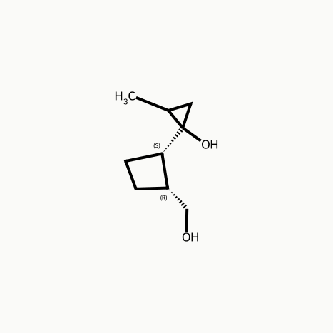 CC1CC1(O)[C@H]1CC[C@H]1CO